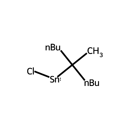 CCCC[C](C)(CCCC)[Sn][Cl]